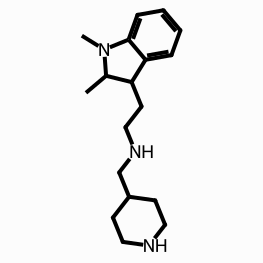 CC1C(CCNCC2CCNCC2)c2ccccc2N1C